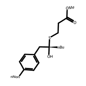 CCCCCCCCCc1ccc(C[C@](O)(CCCC)SCCC(=O)OC)cc1